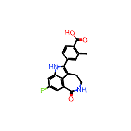 Cc1cc(-c2[nH]c3cc(F)cc4c3c2CCNC4=O)ccc1C(=O)O